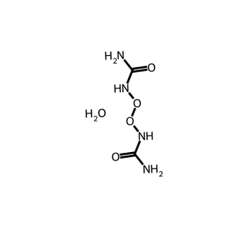 NC(=O)NOONC(N)=O.O